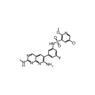 CNc1ncc2cc(-c3cc(F)cc(NS(=O)(=O)c4cc(Cl)cnc4OC)c3)c(N)nc2n1